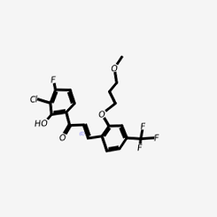 COCCCOc1cc(C(F)(F)F)ccc1/C=C/C(=O)c1ccc(F)c(Cl)c1O